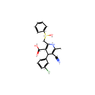 CC1=C(C#N)C(c2cccc(Cl)c2)C(C(=O)O)=C(C[S+]([O-])c2ccccc2)N1